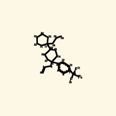 C=CCC1(c2ccc(C(F)(F)F)cc2)CCC(C2(CCC)CCCCC2)CC1